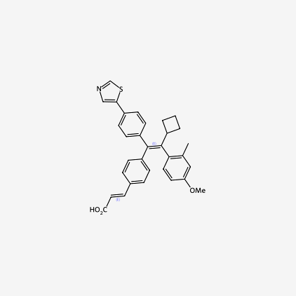 COc1ccc(/C(=C(\c2ccc(/C=C/C(=O)O)cc2)c2ccc(-c3cncs3)cc2)C2CCC2)c(C)c1